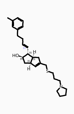 Cc1cccc(CC/C=C/[C@@H]2[C@H]3CC(CSCCCN4CCCC4)=C[C@H]3C[C@H]2O)c1